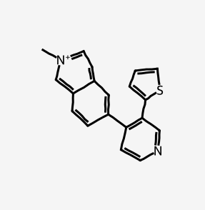 C[n+]1ccc2cc(-c3ccncc3-c3cccs3)ccc2c1